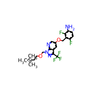 C[Si](C)(C)CCOCn1nc(C(F)(F)F)c2cc(OCc3c(F)ccc(N)c3F)cnc21